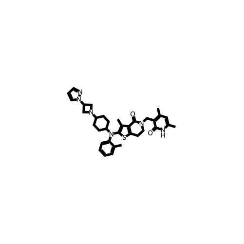 Cc1cc(C)c(CN2CCc3sc(N(c4ccccc4C)C4CCC(N5CC(n6cccn6)C5)CC4)c(C)c3C2=O)c(=O)[nH]1